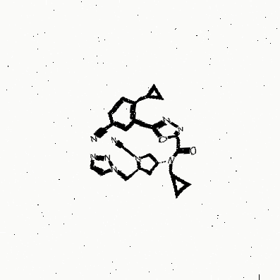 N#Cc1ccc(C2CC2)c(-c2nnc(C(=O)N(C3CC3)[C@@H]3C[C@@H](Cn4ccnn4)N(C#N)C3)o2)c1